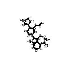 C=CCc1cc(-c2[nH]c3cccc4c3c2CONC4=O)ccc1C1=CNCC1